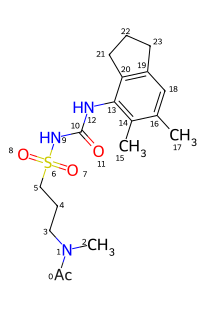 CC(=O)N(C)CCCS(=O)(=O)NC(=O)Nc1c(C)c(C)cc2c1CCC2